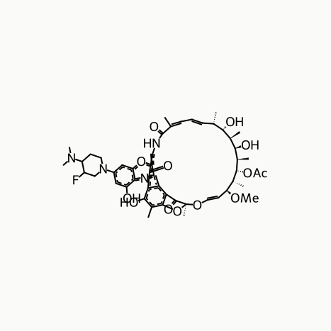 CO[C@H]1/C=C/O[C@@]2(C)Oc3c(C)c(O)c4c(=O)c(c5oc6cc(N7CCC(N(C)C)C(F)C7)cc(O)c6nc-5c4c3C2=O)NC(=O)/C(C)=C\C=C\[C@H](C)[C@H](O)[C@@H](C)[C@@H](O)[C@@H](C)[C@H](OC(C)=O)[C@@H]1C